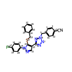 N#Cc1ccc(Cn2nnc(-c3cnn(-c4ccc(F)cc4)c3SCc3ccccc3)n2)cc1